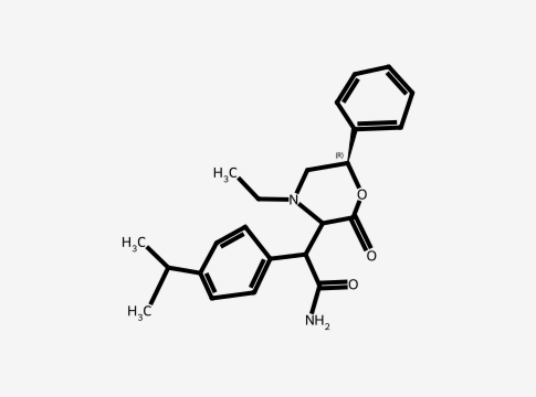 CCN1C[C@@H](c2ccccc2)OC(=O)C1C(C(N)=O)c1ccc(C(C)C)cc1